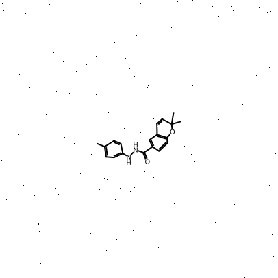 Cc1ccc(NNC(=O)c2ccc3c(c2)C=CC(C)(C)O3)cc1